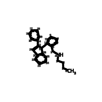 CCCCNCc1ccccc1C1C(c2ccccc2)=Cc2ccccc21